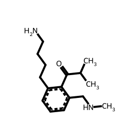 CNCc1cccc(CCCCN)c1C(=O)C(C)C